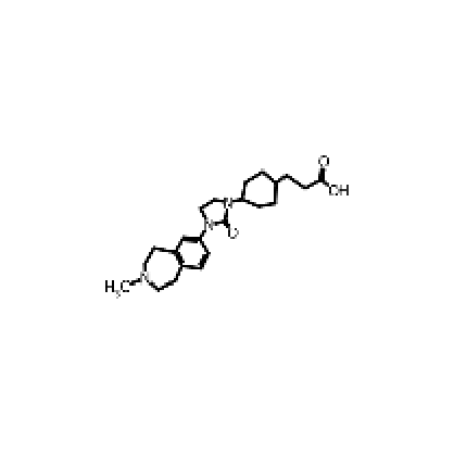 CN1CCc2ccc(N3CCN(C4CCC(CCC(=O)O)CC4)C3=O)cc2CC1